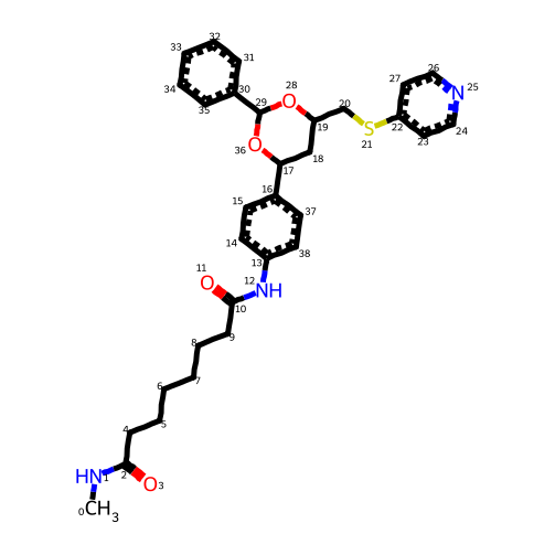 CNC(=O)CCCCCCC(=O)Nc1ccc(C2CC(CSc3ccncc3)OC(c3ccccc3)O2)cc1